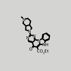 CCOC(=O)c1c(=O)c2cnc(N3CC4CCN(C)CC4C3)nc2n2c1[nH]c1ccccc12